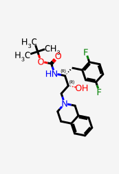 CC(C)(C)OC(=O)N[C@H](Cc1cc(F)ccc1F)[C@H](O)CN1CCc2ccccc2C1